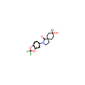 CCC1(O)CCC2(CCN(c3ccc4c(c3)OC(F)(F)O4)C2=O)CC1